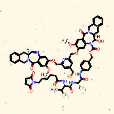 COc1cc2c(cc1OCc1cc(CO)cc(COc3cc4c(cc3OC)C(=O)N3Cc5ccccc5C[C@H]3C(O)N4C(=O)OCc3ccc(NC(=O)[C@H](C)NC(=O)[C@@H](NC(=O)CCCCCN4C(=O)C=CC4=O)C(C)C)cc3)n1)N=C[C@@H]1Cc3ccccc3CN1C2=O